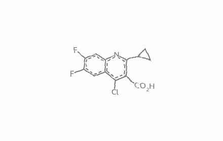 O=C(O)c1c(C2CC2)nc2cc(F)c(F)cc2c1Cl